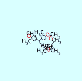 CCCC[Si](C)(C)O[Si](C)(C)CCCC(c1ccc(OC)c(C)c1)c1ccc(OC(C)=O)c(C)c1